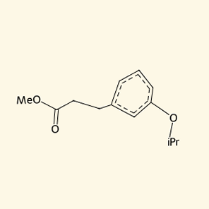 COC(=O)CCc1cccc(OC(C)C)c1